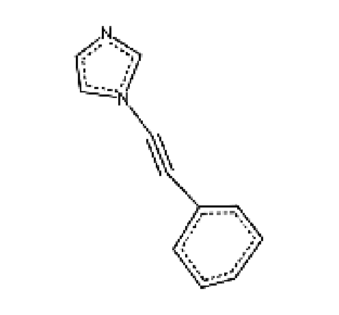 C(#Cn1ccnc1)c1ccccc1